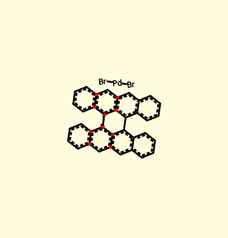 [Br][Pd][Br].c1ccc(P(c2ccccc2)c2ccc3ccccc3c2-c2c(P(c3ccccc3)c3ccccc3)ccc3ccccc23)cc1